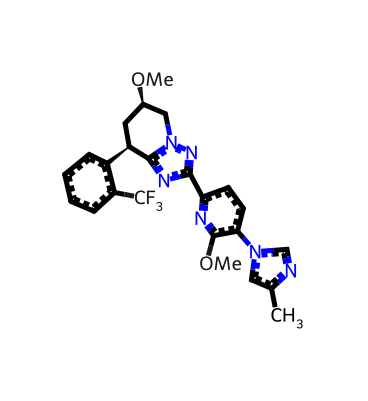 COc1nc(-c2nc3n(n2)C[C@H](OC)C[C@@H]3c2ccccc2C(F)(F)F)ccc1-n1cnc(C)c1